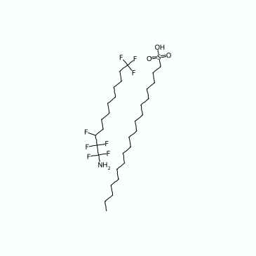 CCCCCCCCCCCCCCCCCCCS(=O)(=O)O.NC(F)(F)C(F)(F)C(F)CCCCCCCCC(F)(F)F